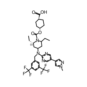 CCC1CC(N(Cc2cc(C(F)(F)F)cc(C(F)(F)F)c2)c2ncc(-c3cnn(C)c3)cn2)C[C@H](CC)N1C(=O)O[C@H]1CC[C@H](C(=O)O)CC1